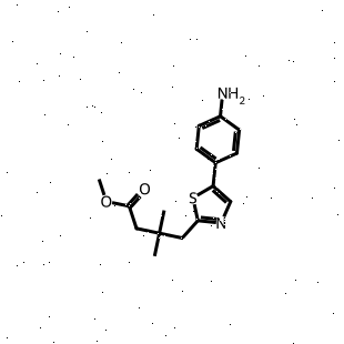 COC(=O)CC(C)(C)Cc1ncc(-c2ccc(N)cc2)s1